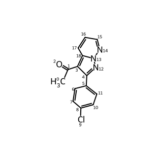 CC(=O)c1c(-c2ccc(Cl)cc2)nn2ncccc12